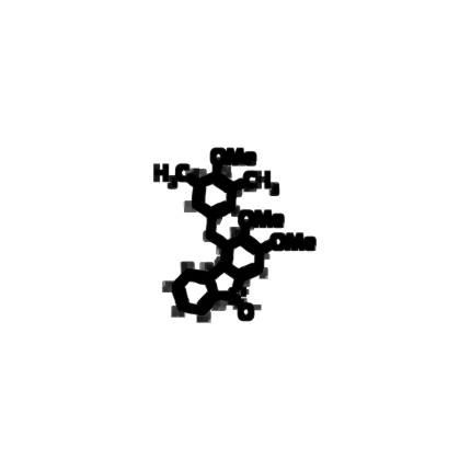 COc1cc2c(c(Cc3cc(C)c(OC)c(C)c3)c1OC)c1ccccc1[s+]2[O-]